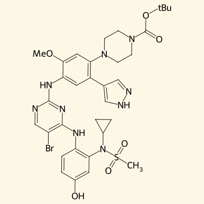 COc1cc(N2CCN(C(=O)OC(C)(C)C)CC2)c(-c2cn[nH]c2)cc1Nc1ncc(Br)c(Nc2ccc(O)cc2N(C2CC2)S(C)(=O)=O)n1